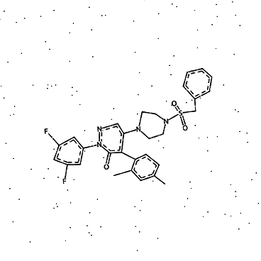 Cc1ccc(-c2c(N3CCN(S(=O)(=O)Cc4ccccc4)CC3)cnn(-c3cc(F)cc(F)c3)c2=O)c(C)c1